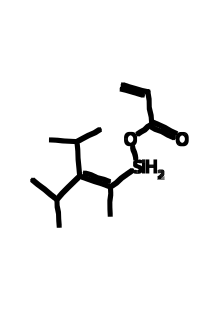 C=CC(=O)O[SiH2]C(C)=C(C(C)C)C(C)C